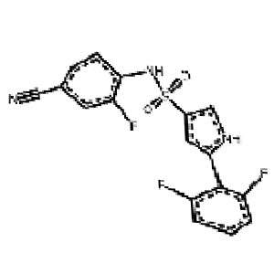 N#Cc1ccc(NS(=O)(=O)c2c[nH]c(-c3c(F)cccc3F)c2)c(F)c1